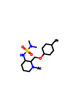 CC(=O)N1CCCC(NS(=O)(=O)N(C)C)C1COC1CCC(C(C)C)CC1